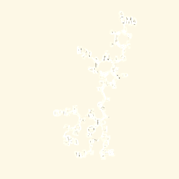 COc1ccc(Sc2nc(N)nc3c2ncn3CCOCP(=O)(OC(OC=O)OCC(C)(C)C)OC(OC=O)OCC(C)(C)C)cc1